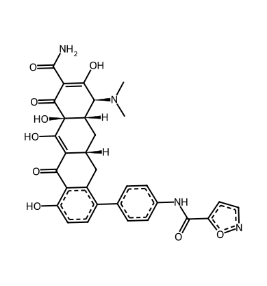 CN(C)[C@@H]1C(O)=C(C(N)=O)C(=O)[C@@]2(O)C(O)=C3C(=O)c4c(O)ccc(-c5ccc(NC(=O)c6ccno6)cc5)c4C[C@H]3C[C@@H]12